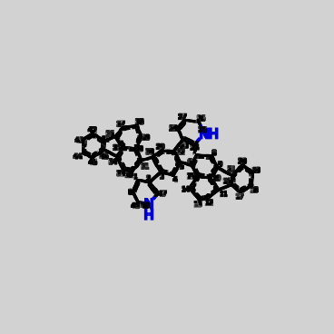 C1=CC(c2cc(-c3ccc4c5c(cccc35)-c3ccccc3-4)c(C3=CNCC=C3)cc2-c2ccc3c4c(cccc24)-c2ccccc2-3)=CNC1